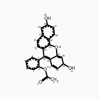 CC(=O)Oc1ccccc1C1=C2C=CC(O)C=C2Oc2c1ccc1cc(O)ccc21